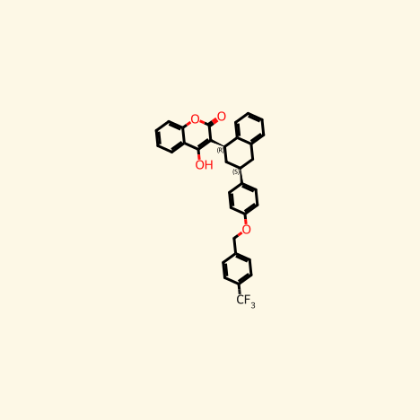 O=c1oc2ccccc2c(O)c1[C@@H]1C[C@H](c2ccc(OCc3ccc(C(F)(F)F)cc3)cc2)Cc2ccccc21